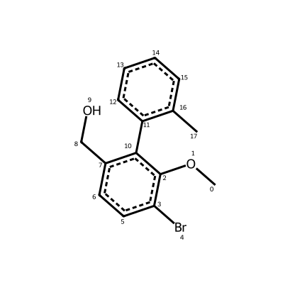 COc1c(Br)ccc(CO)c1-c1ccccc1C